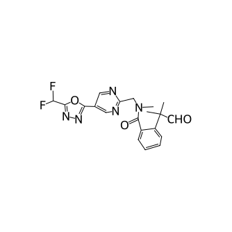 CN(Cc1ncc(-c2nnc(C(F)F)o2)cn1)C(=O)c1ccccc1C(C)(C)C=O